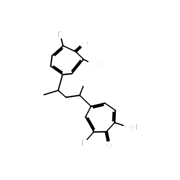 CC(CC(C)c1ccc(O)c(=O)c(F)c1)c1ccc(F)c(=O)c(O)c1